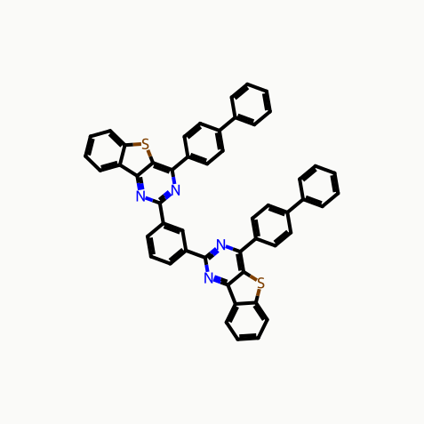 c1ccc(-c2ccc(-c3nc(-c4cccc(-c5nc(-c6ccc(-c7ccccc7)cc6)c6sc7ccccc7c6n5)c4)nc4c3sc3ccccc34)cc2)cc1